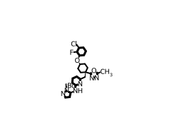 Cc1nnc([C@]2(Cc3cccc(Nc4ccnn4C(C)(C)C)n3)CC[C@@H](Oc3cccc(Cl)c3F)CC2)o1